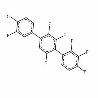 Fc1[c]c(-c2ccc(Cl)c(F)c2)c(F)c(F)c1-c1ccc(F)c(F)c1F